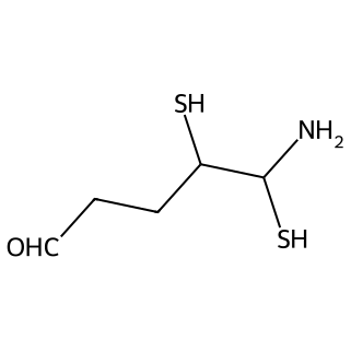 NC(S)C(S)CCC=O